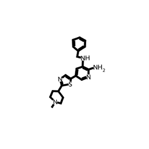 CN1CCC(c2ncc(-c3cnc(N)c(NCc4ccccc4)c3)s2)CC1